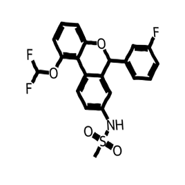 CS(=O)(=O)Nc1ccc2c(c1)C(c1cccc(F)c1)Oc1cccc(OC(F)F)c1-2